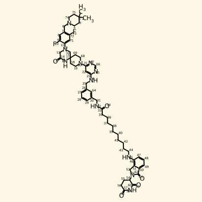 CC1(C)CCN(Cc2cc(F)c(N3CC(=O)NC4(CCN(c5cc(NCc6cccc(CNC(=O)CCCCCCCCCCNc7cccc8c7CN(C7CCC(=O)NC7=O)C8=O)c6)ncn5)CC4)C3)cc2F)CC1